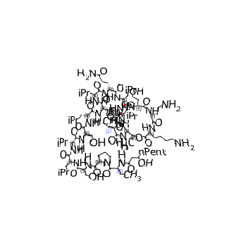 C/C=C(\NC(=O)[C@H](NC(=O)[C@H](CC(C)C)NC(=O)[C@@H](CCC(N)=O)NC(=O)[C@@H](NC(=O)[C@H](NC(=O)[C@@H](CC(C)C)NC(=O)[C@@H](CO)NC(=O)[C@H](NC(=O)[C@H](CC(C)C)NC(=O)[C@H](CO)NC(=O)[C@H]1CCCN1C(=O)/C(=C/C)NC(=O)CC(O)CCCCC)C(C)C)C(C)C)C(C)C)C(C)C)C(=O)N[C@H]1C(=O)N[C@@H]([C@@H](C)CC)C(=O)N[C@@H](CCO)C(=O)N[C@H](CCN)C(=O)N[C@@H](CCCCN)C(=O)O[C@@H]1C